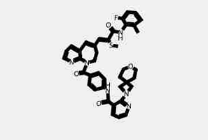 CS/C(=C\C1=Cc2cccnc2N(C(=O)c2ccc(NC(=O)c3cccnc3N3CC4(CCOCC4)C3)cc2)CC1)C(=O)Nc1c(C)cccc1F